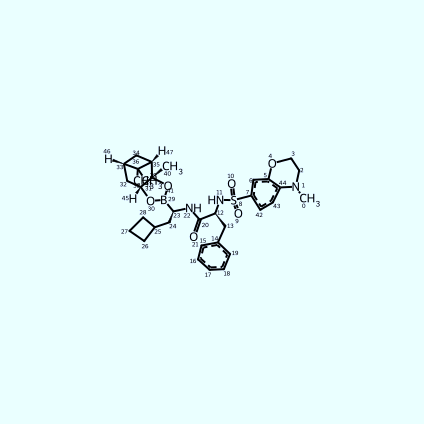 CN1CCOc2cc(S(=O)(=O)N[C@@H](Cc3ccccc3)C(=O)N[C@@H](CC3CCC3)B3O[C@@H]4C[C@@H]5C[C@@H](C5(C)C)[C@]4(C)O3)ccc21